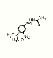 CC(C)c1ccc(/C=N/NC(N)=S)cc1[N+](=O)[O-]